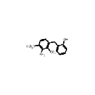 Nc1c(C(=O)O)ccc(Cc2ccccc2O)c1C(=O)O